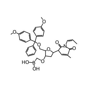 C/C=C\N1C(=O)C(C)=CC(C2CC(OCB(O)O)C(COC(c3ccccc3)(c3ccc(OC)cc3)c3ccc(OC)cc3)O2)C1=O